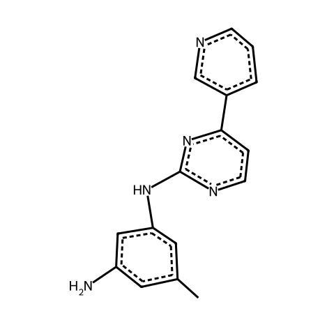 Cc1cc(N)cc(Nc2nccc(-c3cccnc3)n2)c1